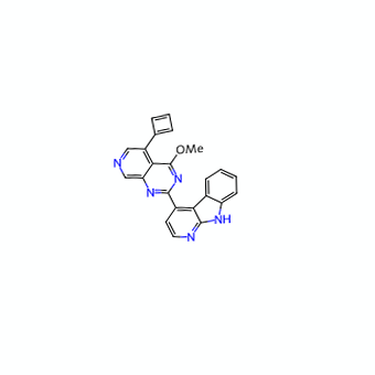 COc1nc(-c2ccnc3[nH]c4ccccc4c23)nc2cncc(C3=CC=C3)c12